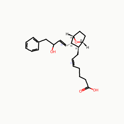 O=C(O)CCC/C=C\C[C@H]1[C@H](/C=C/C(O)Cc2ccccc2)[C@@H]2CC[C@H]1O2